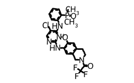 CP(C)(=O)c1ccccc1Nc1c(Cl)cnc2[n+]1Oc1cc3c(cc1N2)CN(C(=O)C(F)(F)F)CC3